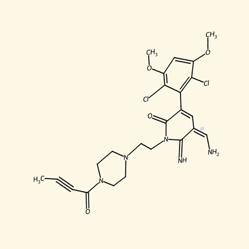 CC#CC(=O)N1CCN(CCN2C(=N)/C(=C\N)C=C(c3c(Cl)c(OC)cc(OC)c3Cl)C2=O)CC1